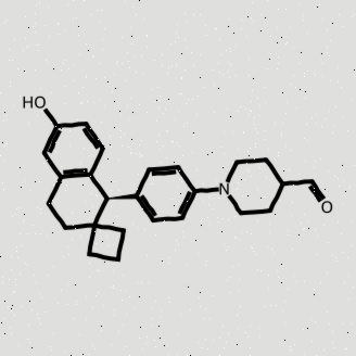 O=CC1CCN(c2ccc([C@@H]3c4ccc(O)cc4CCC34CCC4)cc2)CC1